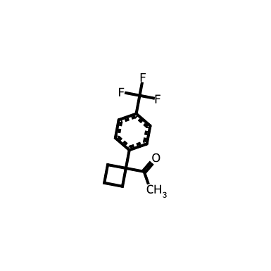 CC(=O)C1(c2ccc(C(F)(F)F)cc2)CCC1